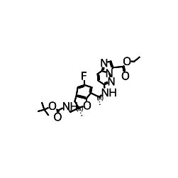 CCOC(=O)c1cnc2ccc(N[C@H](C)c3cc(F)cc4c3O[C@@](C)(CNC(=O)OC(C)(C)C)C4)nn12